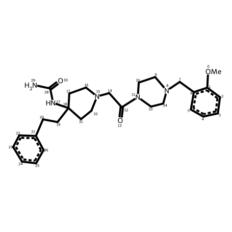 COc1ccccc1CN1CCN(C(=O)CN2CCC(CCc3ccccc3)(NC(N)=O)CC2)CC1